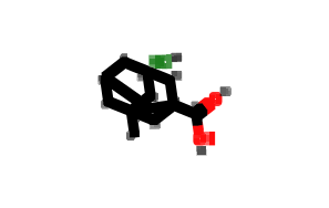 CC12CC3CC(C1)CC(C(=O)O)(C3)C2.Cl